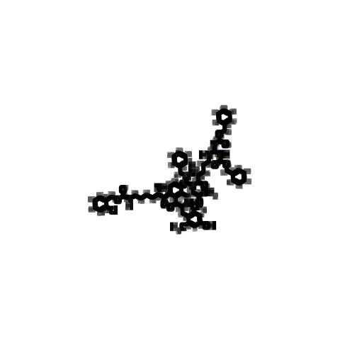 Cc1cc(O)cc(C)c1C[C@H](N)C(=O)c1c(C[C@@H](C(N)=O)N(C(=O)OCc2ccccc2)C(=O)[C@H](N)CCCN/C(=N/C(=O)OCc2ccccc2)NC(=O)OCc2ccccc2)cccc1C(=O)[C@@H](N)CCCCNC(=O)OCc1ccccc1Cl